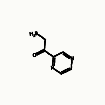 BCC(=O)c1cnccn1